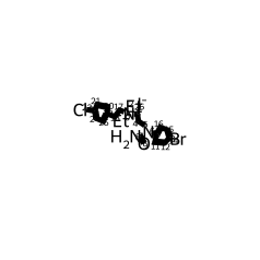 CC[N+](CC)(CCCN(C(N)=O)c1ccc(Br)cc1)CCc1ccc(Cl)cc1.[I-]